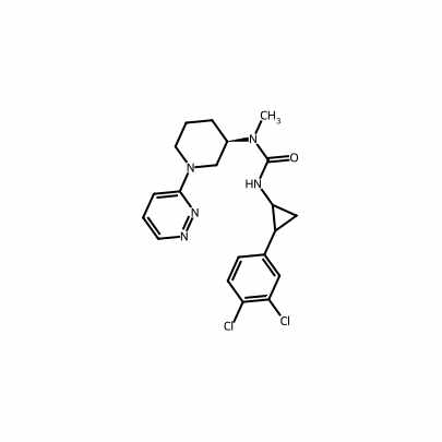 CN(C(=O)NC1CC1c1ccc(Cl)c(Cl)c1)[C@@H]1CCCN(c2cccnn2)C1